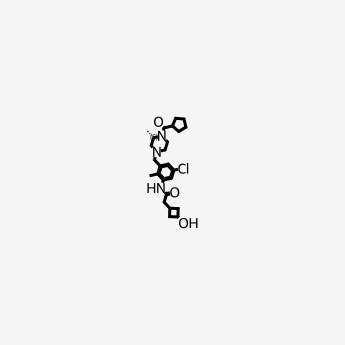 Cc1c(CN2CCN(C(=O)C3CCCC3)[C@@H](C)C2)cc(Cl)cc1NC(=O)CC1CC(O)C1